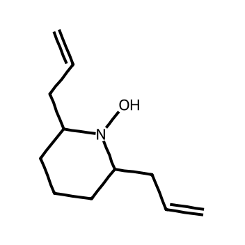 C=CCC1CCCC(CC=C)N1O